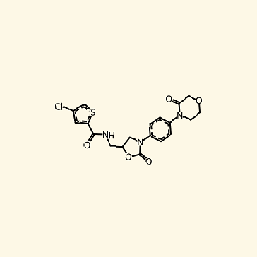 O=C(NCC1CN(c2ccc(N3CCOCC3=O)cc2)C(=O)O1)c1cc(Cl)cs1